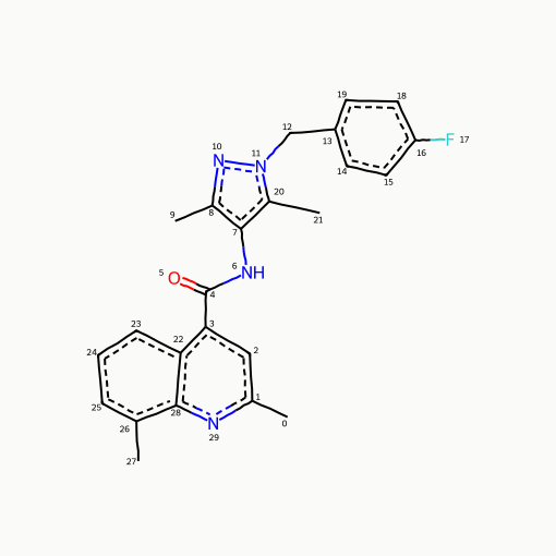 Cc1cc(C(=O)Nc2c(C)nn(Cc3ccc(F)cc3)c2C)c2cccc(C)c2n1